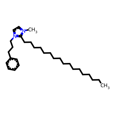 CCCCCCCCCCCCCCCCCc1n(C)cc[n+]1CCCc1ccccc1